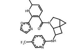 CC1C=CC(C(=O)N2CC3CC34CC(Nc3ccc(C(F)(F)F)cn3)C24)=C(c2ncco2)N1